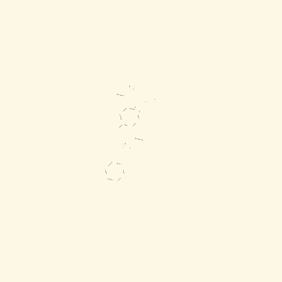 COC[C@H]1C[C@@]12CN(C)C(=O)c1c(O)c(=O)c(C(=O)NCc3cccc(C(F)(F)F)c3F)cn12